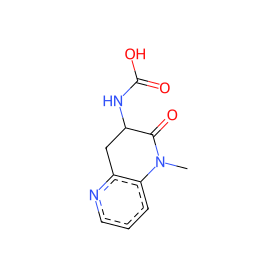 CN1C(=O)C(NC(=O)O)Cc2ncccc21